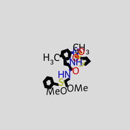 COC(OC)C(CNC(=O)c1cc2c(C)ccc(N(C)S(=O)(=O)c3cccs3)c2[nH]1)SCc1ccccc1